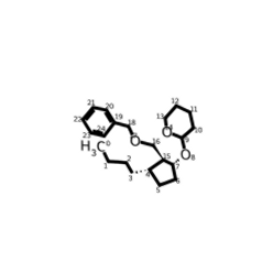 CCCC[C@H]1CC[C@@H](OC2CCCCO2)[C@@H]1COCc1ccccc1